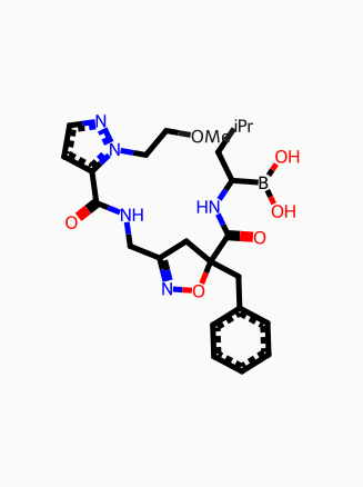 COCCn1nccc1C(=O)NCC1=NOC(Cc2ccccc2)(C(=O)NC(CC(C)C)B(O)O)C1